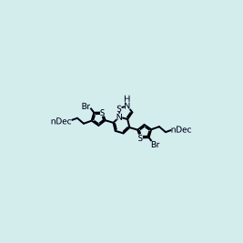 CCCCCCCCCCCCc1cc(C2=CC=C(c3cc(CCCCCCCCCCCC)c(Br)s3)N3SNC=C23)sc1Br